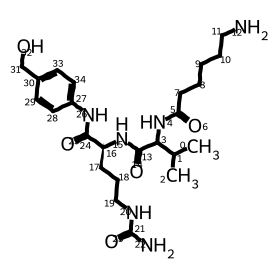 CC(C)C(NC(=O)CCCCCN)C(=O)N[C@@H](CCCNC(N)=O)C(=O)Nc1ccc(CO)cc1